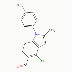 Cc1ccc(-n2c(C)cc3c2CCC(C=O)=C3Cl)cc1